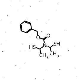 CC(S)N(C(=O)OCc1ccccc1)C(C)S